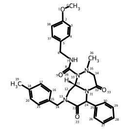 COc1ccc(CNC(=O)N2[C@H]3CN(Cc4ccc(C)cc4)C(=O)C(c4ccccc4)N3C(=O)CN2C)cc1